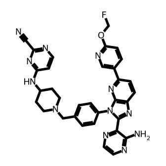 N#Cc1nccc(NC2CCN(Cc3ccc(-n4c(-c5nccnc5N)nc5ccc(-c6ccc(OCF)nc6)nc54)cc3)CC2)n1